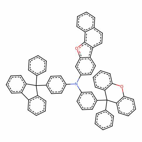 c1ccc(C2(c3cccc(N(c4ccc(C5(c6ccccc6)c6ccccc6-c6ccccc65)cc4)c4ccc5c(c4)oc4c6ccccc6ccc54)c3)c3ccccc3Oc3ccccc32)cc1